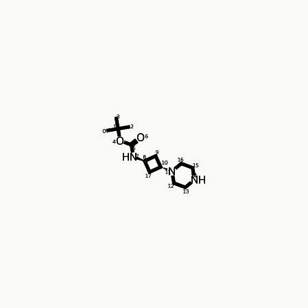 CC(C)(C)OC(=O)N[C@H]1C[C@H](N2CCNCC2)C1